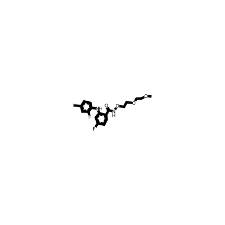 COCCOCCONC(=O)c1ccc(F)cc1Nc1ccc(I)cc1F